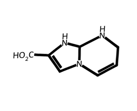 O=C(O)C1=CN2C=CCNC2N1